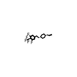 C=CC[C@H]1CC[C@H](CCc2cc(F)c(C(F)(F)F)c(F)c2)CC1